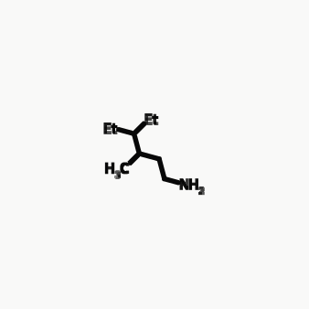 CCC(CC)C(C)CCN